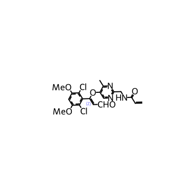 C=CC(=O)NCc1ncc(O/C(=C\C=O)c2c(Cl)c(OC)cc(OC)c2Cl)c(C)n1